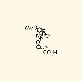 COc1ccc(F)c(-c2ncc(COc3cccc(C(CC(=O)O)C4CC4)c3)nc2OC2CCCC2)c1